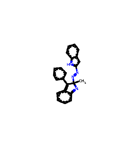 CC1(N=Nc2cc3ccccc3[nH]2)N=c2ccccc2=C1c1ccccc1